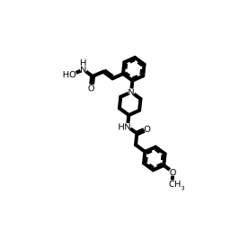 COc1ccc(CC(=O)NC2CCN(c3ccccc3C=CC(=O)NO)CC2)cc1